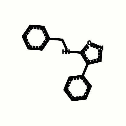 c1ccc(CNc2oncc2-c2ccccc2)cc1